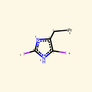 CC(C)Cc1nc(I)[nH]c1I